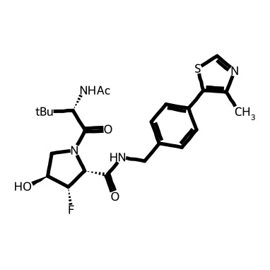 CC(=O)N[C@H](C(=O)N1C[C@H](O)[C@@H](F)[C@H]1C(=O)NCc1ccc(-c2scnc2C)cc1)C(C)(C)C